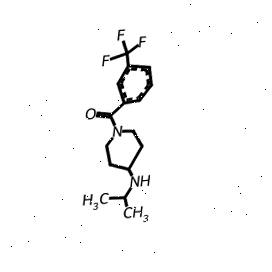 CC(C)NC1CCN(C(=O)c2cccc(C(F)(F)F)c2)CC1